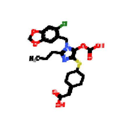 CCCc1nc(SC2CCC(=CC(=O)O)CC2)c(OC(=O)O)n1Cc1cc2c(cc1Cl)OCO2